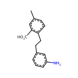 Cc1ccc(CCc2cccc(N)c2)c(C(=O)O)c1